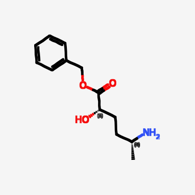 C[C@@H](N)CC[C@H](O)C(=O)OCc1ccccc1